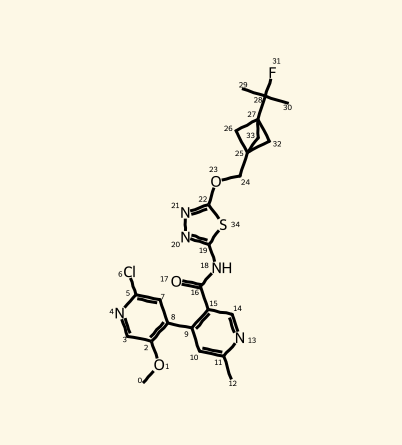 COc1cnc(Cl)cc1-c1cc(C)ncc1C(=O)Nc1nnc(OCC23CC(C(C)(C)F)(C2)C3)s1